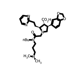 CCCCN(CCCN(C)C)C(=O)CN1C[C@H](c2ccc3c(c2)OCO3)[C@@H](C(=O)O)[C@@H]1CCc1ncccn1